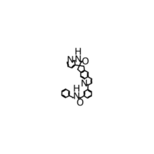 O=C(NCc1ccccc1)c1cccc(-c2ccc3cc4c(cc3n2)CC2(C4)C(=O)Nc3ncccc32)c1